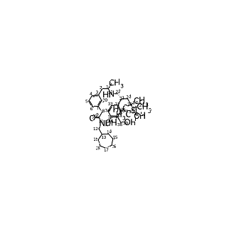 C[C@H](Cc1cccc(CC(=O)NCC2CCCCCC2)c1)NC[C@H](CC(C)(C)[Si](C)(C)O)c1ccc(O)c(CO)c1